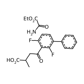 CC(CC(=O)c1c(F)ccc(-c2ccccc2)c1F)C(=O)O.CCOC(=O)C(N)=O